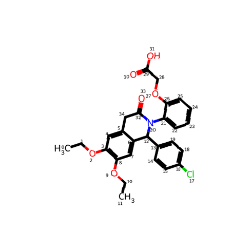 CCOc1cc2c(cc1OCC)C(c1ccc(Cl)cc1)N(c1ccccc1OCC(=O)O)C(=O)C2